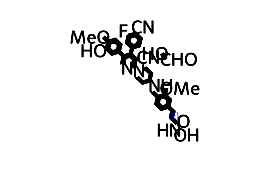 COc1ccc(-c2cnc(N3CCC(NCc4ccc(/C=C/C(=O)NO)cc4OC)CC3)c(C#N)c2-c2ccc(C#N)c(F)c2)cc1O.O=CO